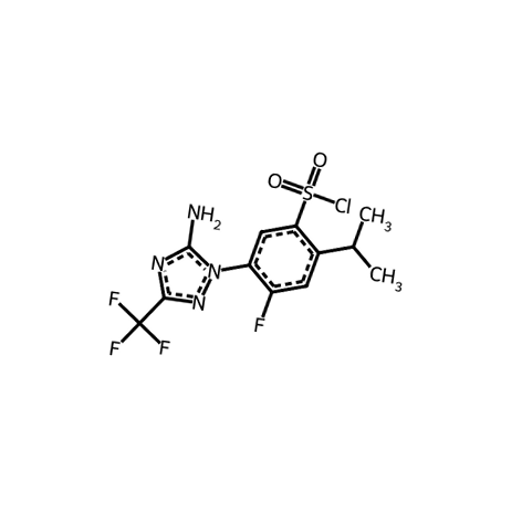 CC(C)c1cc(F)c(-n2nc(C(F)(F)F)nc2N)cc1S(=O)(=O)Cl